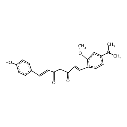 COc1cc(N(C)C)ccc1C=CC(=O)CC(=O)C=Cc1ccc(O)cc1